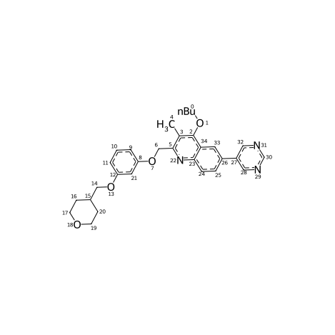 CCCCOc1c(C)c(COc2cccc(OCC3CCOCC3)c2)nc2ccc(-c3cncnc3)cc12